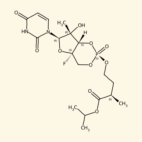 CC(C)OC(=O)[C@H](C)CCO[P@@]1(=O)OC[C@@]2(F)O[C@@H](n3ccc(=O)[nH]c3=O)[C@](C)(O)[C@@H]2O1